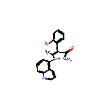 COC(=O)/C(=C(/C)[AsH]c1cccc2ncccc12)c1ccccc1Br